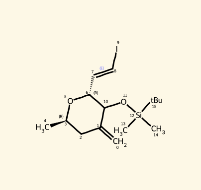 C=C1C[C@@H](C)O[C@H](/C=C/I)C1O[Si](C)(C)C(C)(C)C